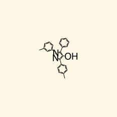 Cc1ccc(-c2nn(-c3cccc(C)c3)c(-c3ccccc3)c2O)cc1